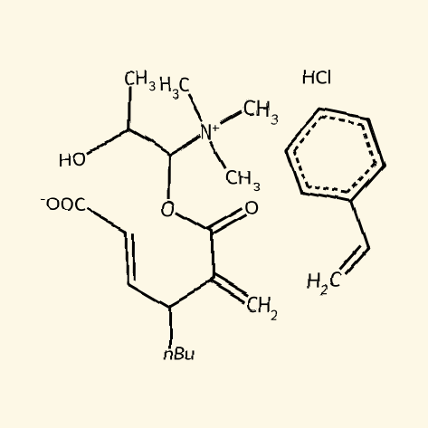 C=C(C(=O)OC(C(C)O)[N+](C)(C)C)C(C=CC(=O)[O-])CCCC.C=Cc1ccccc1.Cl